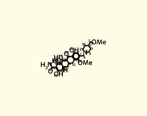 COCC1CCN(Cc2cc(O)c3c(c2OC)CC2C[C@H]4CC(O)=C(C(N)=O)C(=O)[C@@]4(O)C(O)=C2C3=O)CC1